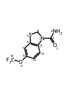 NC(=O)N1[CH]Sc2cc(OC(F)(F)F)ccc21